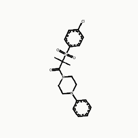 CC(C)(C(=O)N1CCN(c2ccccc2)CC1)S(=O)(=O)c1ccc(Cl)cc1